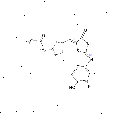 CC(=O)Nc1ncc(/C=C2\S/C(=N\c3ccc(O)c(F)c3)NC2=O)s1